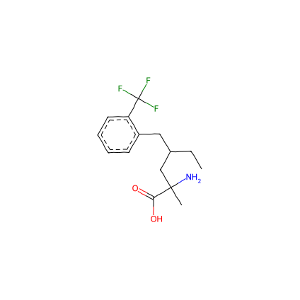 CCC(Cc1ccccc1C(F)(F)F)CC(C)(N)C(=O)O